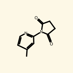 Cc1ccnc(N2C(=O)CCC2=O)c1